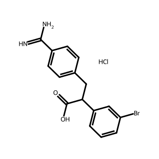 Cl.N=C(N)c1ccc(CC(C(=O)O)c2cccc(Br)c2)cc1